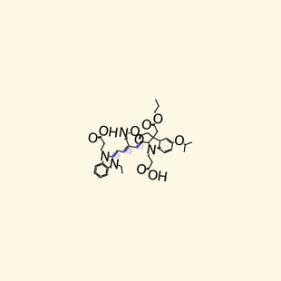 CCCOC(=O)CC1(CC(=O)OC)C(/C=C/C(C#N)=C/C=C2\N(CC)c3ccccc3N2CCC(=O)O)=[N+](CCC(=O)O)C2C=CC(OC(C)C)=CC21